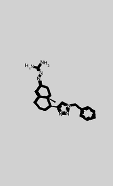 C[C@]12CC/C(=N\N=C(N)N)C=C1CCC[C@@H]2c1cn(Cc2ccccc2)nn1